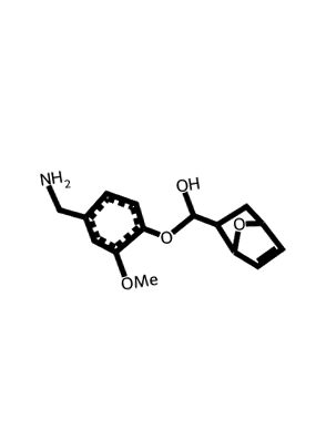 COc1cc(CN)ccc1OC(O)C1CC2C=CC1O2